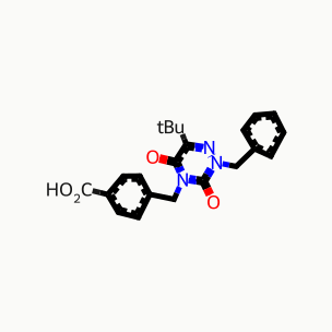 CC(C)(C)c1nn(Cc2ccccc2)c(=O)n(Cc2ccc(C(=O)O)cc2)c1=O